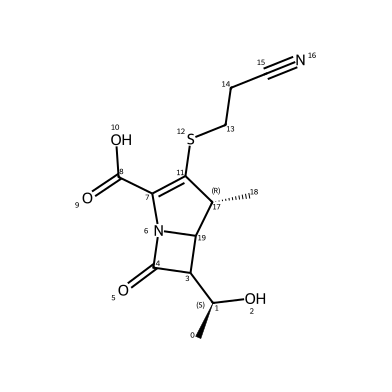 C[C@H](O)C1C(=O)N2C(C(=O)O)=C(SCCC#N)[C@H](C)C12